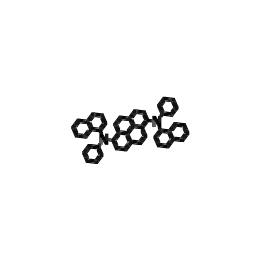 c1ccc(N(c2cccc3ccccc23)c2ccc3ccc4c(N(c5ccccc5)c5cccc6ccccc56)ccc5ccc2c3c54)cc1